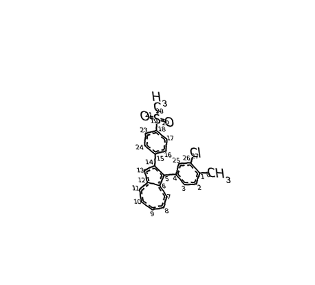 Cc1ccc(-c2c3cccccc-3cc2-c2ccc(S(C)(=O)=O)cc2)cc1Cl